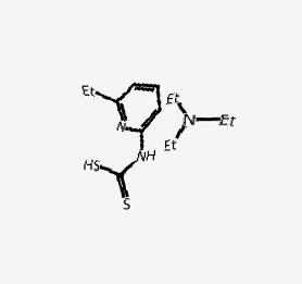 CCN(CC)CC.CCc1cccc(NC(=S)S)n1